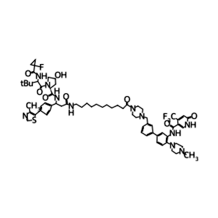 Cc1ncsc1-c1ccc(C(CC(=O)NCCCCCCCCCCC(=O)N2CCN(Cc3cccc(-c4ccc(N5CCN(C)CC5)c(NC(=O)c5c[nH]c(=O)cc5C(F)(F)F)c4)c3)CC2)NC(=O)[C@@H]2C[C@@H](O)CN2C(=O)C(NC(=O)C2(F)CC2)C(C)(C)C)cc1